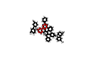 Cc1ccc2c(c1)c1cc(C)ccc1n2-c1ccc(-c2nc(-c3ccccc3)c(-c3ccc(-n4c5ccc(C)cc5c5cc(C)ccc54)cc3)c(-c3ccccc3-c3nc(-c4ccccc4)nc(-c4ccccc4)n3)c2-c2ccccc2)cc1